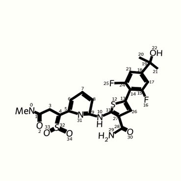 CNC(=O)CC(c1cccc(Nc2sc(-c3c(F)cc(C(C)(C)O)cc3F)cc2C(N)=O)n1)=S(=O)=O